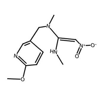 CNC(=C[N+](=O)[O-])N(C)Cc1ccc(OC)nc1